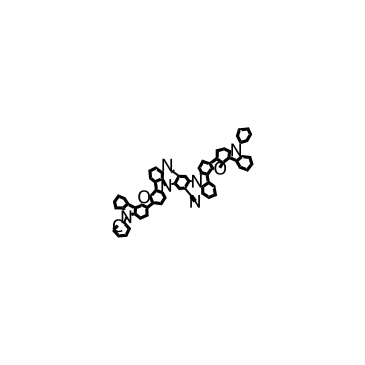 N#Cc1cc(-n2c3ccccc3c3c4oc5c(ccc6c5c5ccccc5n6-c5ccccc5)c4ccc32)c(C#N)cc1-n1c2ccccc2c2c3oc4c(ccc5c4c4ccccc4n5-c4ccccc4)c3ccc21